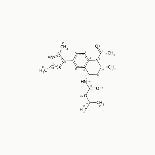 CC(=O)N1c2ccc(-c3sc(C)nc3C)cc2[C@@H](NC(=O)OC(C)C)C[C@H]1C